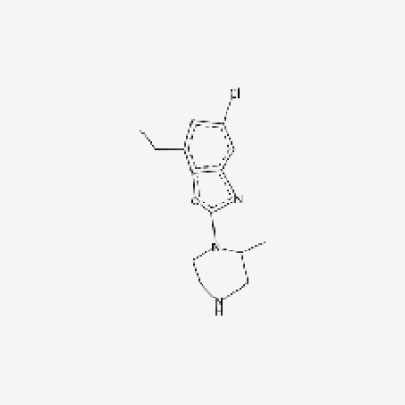 CCc1cc(Cl)cc2nc(N3CCNCC3C)oc12